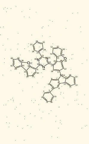 c1ccc(-c2ccc3c(c2)c2ccccc2n3-c2cc(-c3nc(-c4ccccc4)nc(-c4cccc5c4oc4ccccc45)n3)c3c(c2)oc2ccccc23)cc1